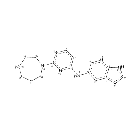 c1cc(Nc2cnc3[nH]ccc3c2)nc(N2CCCNCC2)n1